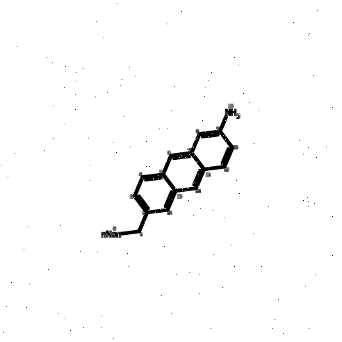 CCCCCCCCCCc1ccc2cc3cc(N)ccc3cc2c1